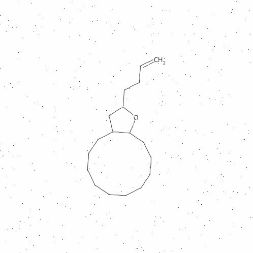 C=CCCC1CC2CCCCCCCCCCC2O1